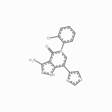 Nc1n[nH]c2c(-c3cscn3)cn(-c3ccccc3Cl)c(=O)c12